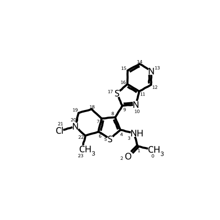 CC(=O)Nc1sc2c(c1-c1nc3cnccc3s1)CCN(Cl)C2C